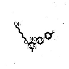 Cc1nc(OCCCCCCO)c([N+](=O)[O-])c(N2CCN(c3ccc(F)cc3)CC2)n1